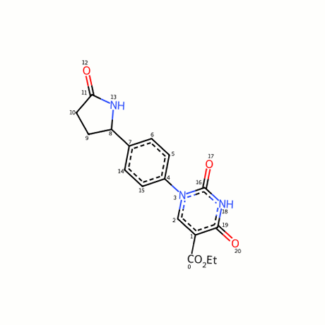 CCOC(=O)c1cn(-c2ccc(C3CCC(=O)N3)cc2)c(=O)[nH]c1=O